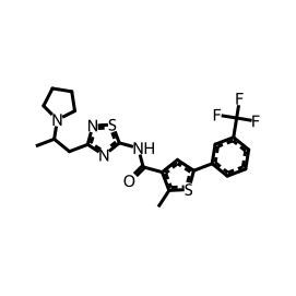 Cc1sc(-c2cccc(C(F)(F)F)c2)cc1C(=O)Nc1nc(CC(C)N2CCCC2)ns1